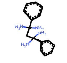 NC(N)([CH]C(N)(N)c1ccccc1)c1ccccc1